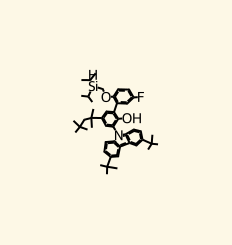 CC(C)[SiH](COc1ccc(F)cc1-c1cc(C(C)(C)CC(C)(C)C)cc(-n2c3ccc(C(C)(C)C)cc3c3cc(C(C)(C)C)ccc32)c1O)C(C)C